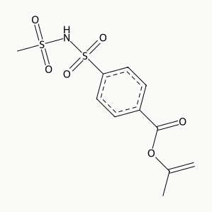 C=C(C)OC(=O)c1ccc(S(=O)(=O)NS(C)(=O)=O)cc1